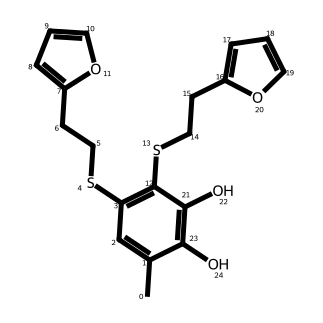 Cc1cc(SCCc2ccco2)c(SCCc2ccco2)c(O)c1O